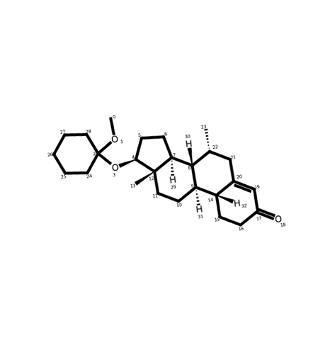 COC1(O[C@H]2CC[C@H]3[C@H]4[C@H](CC[C@]23C)[C@H]2CCC(=O)C=C2C[C@H]4C)CCCCC1